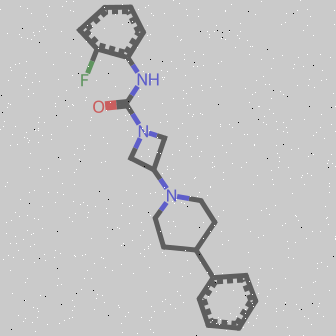 O=C(Nc1ccccc1F)N1CC(N2CCC(c3ccccc3)CC2)C1